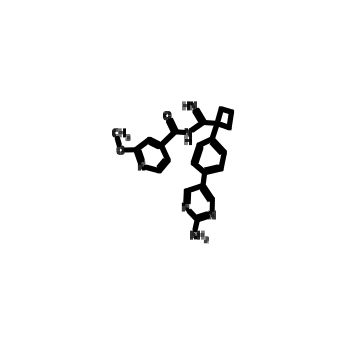 COc1cc(C(=O)NC(=N)C2(c3ccc(-c4cnc(N)nc4)cc3)CCC2)ccn1